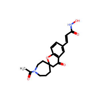 CC(=O)N1CCCC2(CC1)CC(=O)c1cc(/C=C/C(=O)NO)ccc1O2